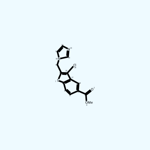 COC(=O)c1ccc2sc(Cn3ccnc3)c(Cl)c2c1